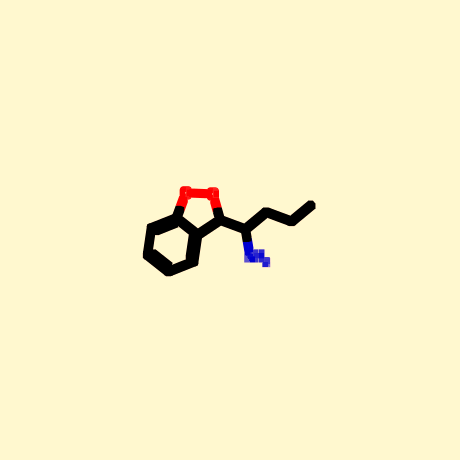 CCCC(N)C1OOc2ccccc21